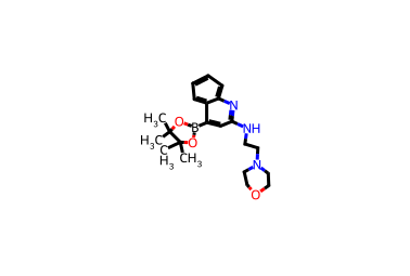 CC1(C)OB(c2cc(NCCN3CCOCC3)nc3ccccc23)OC1(C)C